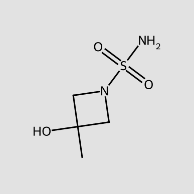 CC1(O)CN(S(N)(=O)=O)C1